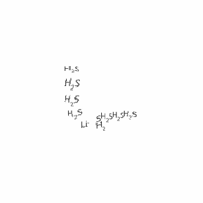 S.S.S.S.S.S.S.S.[Li]